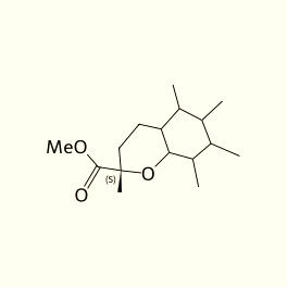 COC(=O)[C@]1(C)CCC2C(C)C(C)C(C)C(C)C2O1